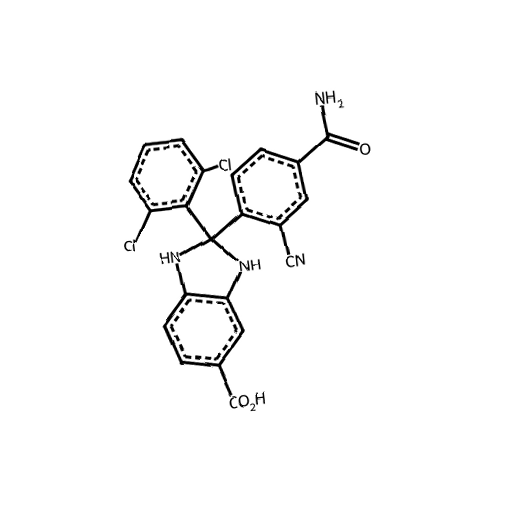 N#Cc1cc(C(N)=O)ccc1C1(c2c(Cl)cccc2Cl)Nc2ccc(C(=O)O)cc2N1